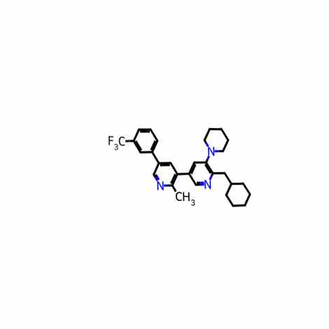 Cc1ncc(-c2cccc(C(F)(F)F)c2)cc1-c1cnc(CC2CCCCC2)c(N2CCCCC2)c1